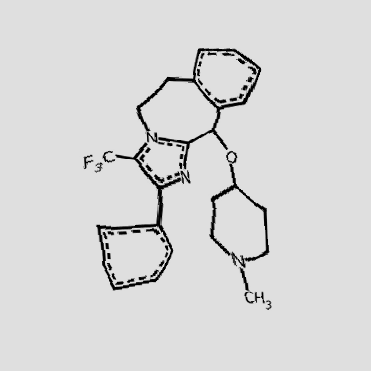 CN1CCC(OC2c3ccccc3CCn3c2nc(-c2ccccc2)c3C(F)(F)F)CC1